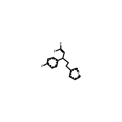 FC(F)=CC(CCc1ccccc1)c1ccc(F)cc1